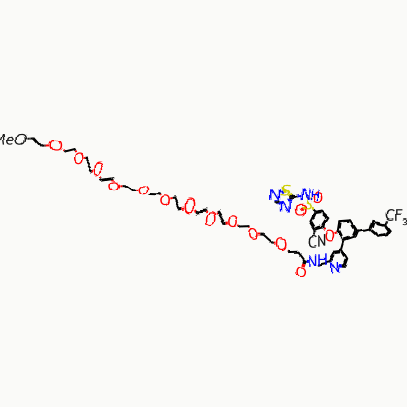 COCCOCCOCCOCCOCCOCCOCCOCCOCCOCCOCCOCCC(=O)NCc1cc(-c2cc(-c3cccc(C(F)(F)F)c3)ccc2Oc2ccc(S(=O)(=O)Nc3ncns3)cc2C#N)ccn1